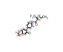 Cc1nc(C(F)(F)F)c(C(=O)Nc2ccc(-c3cc4c(cc3Cl)OC(F)(F)O4)cc2)s1